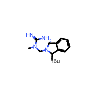 CCCCC1c2ccccc2CN1CN(C)C(=N)N